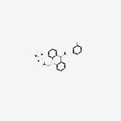 Cc1cccc(OC(=O)C2c3ccccc3N(CC(=O)OS(=O)(=O)C(F)(F)F)c3ccccc32)c1